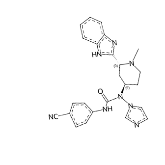 CN1CC[C@@H](N(C(=O)Nc2ccc(C#N)cc2)n2ccnc2)C[C@@H]1c1nc2ccccc2[nH]1